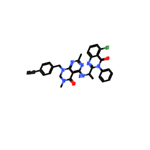 COc1ccc(CN2CN(C)C(=O)c3c(NC(C)c4nc5cccc(Cl)c5c(=O)n4-c4ccccc4)nc(C)nc32)cc1